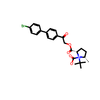 C[C@H]1CC[C@@H](C(=O)OCC(=O)c2ccc(-c3ccc(Br)cc3)cc2)[N+]1(C(=O)[O-])C(C)(C)C